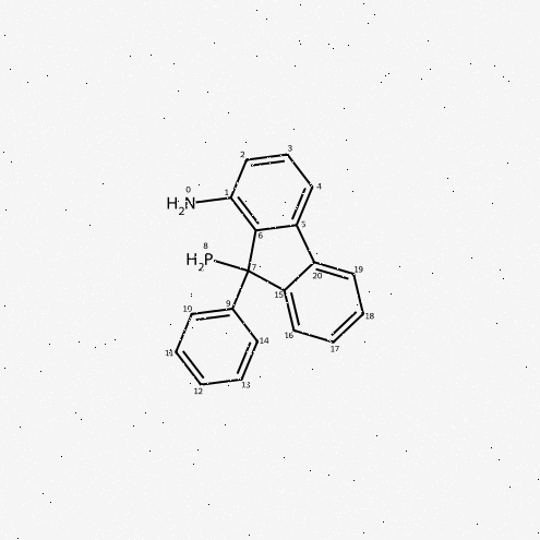 Nc1cccc2c1C(P)(c1ccccc1)c1ccccc1-2